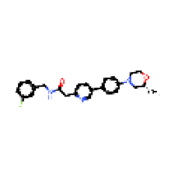 C[C@@H]1CN(c2ccc(-c3ccc(CC(=O)NCc4cccc(F)c4)nc3)cc2)CCO1